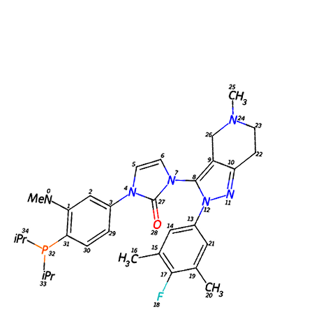 CNc1cc(-n2ccn(-c3c4c(nn3-c3cc(C)c(F)c(C)c3)CCN(C)C4)c2=O)ccc1P(C(C)C)C(C)C